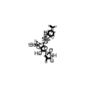 C=C(C)[C@H]1CC[C@@]2(C)S[P@](=S)(OC[C@H]3O[C@@H](n4cc(C)c(=O)[nH]c4=O)[C@H](O)[C@@H]3O[Si](C)(C)C(C)(C)C)O[C@@H]2C1